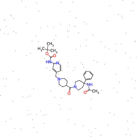 CC(=O)NC1(c2ccccc2)CCN(C(=O)C2CCN(Cc3ccnc(NC(=O)OC(C)(C)C)c3)CC2)CC1